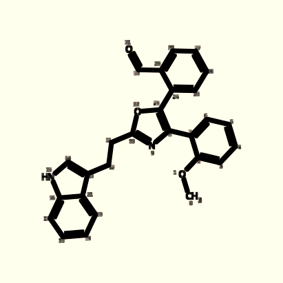 COc1ccccc1-c1nc(CCc2c[nH]c3ccccc23)oc1-c1ccccc1C=O